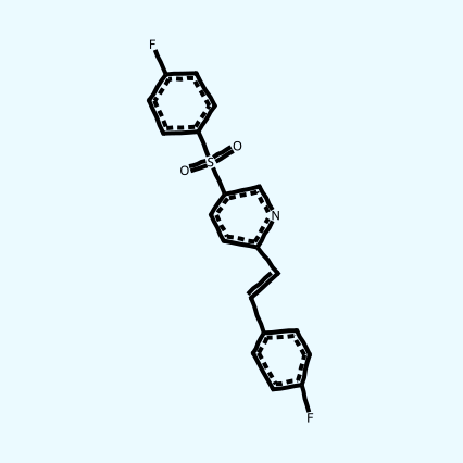 O=S(=O)(c1ccc(F)cc1)c1ccc(/C=C/c2ccc(F)cc2)nc1